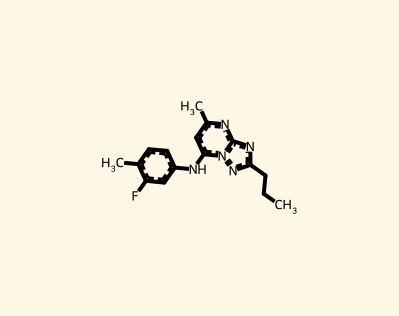 CCCc1nc2nc(C)cc(Nc3ccc(C)c(F)c3)n2n1